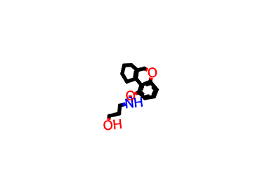 OCCCNOc1cccc2c1C1=C(CCCC1)CO2